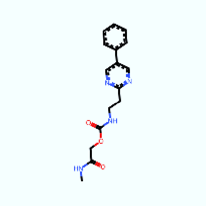 CNC(=O)COC(=O)NCCc1ncc(-c2ccccc2)cn1